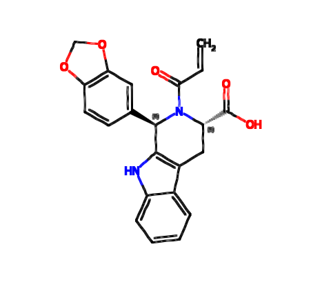 C=CC(=O)N1[C@H](c2ccc3c(c2)OCO3)c2[nH]c3ccccc3c2C[C@H]1C(=O)O